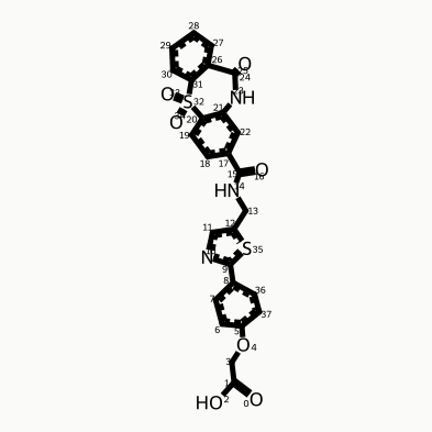 O=C(O)COc1ccc(-c2ncc(CNC(=O)c3ccc4c(c3)NC(=O)c3ccccc3S4(=O)=O)s2)cc1